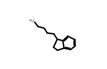 CCCCCC1CCc2ccccc21